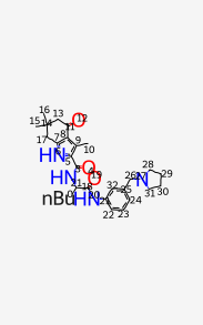 CCCCC(NC(=O)c1[nH]c2c(c1C)C(=O)CC(C)(C)C2)C(=O)Nc1cccc(CN2CCCC2)c1